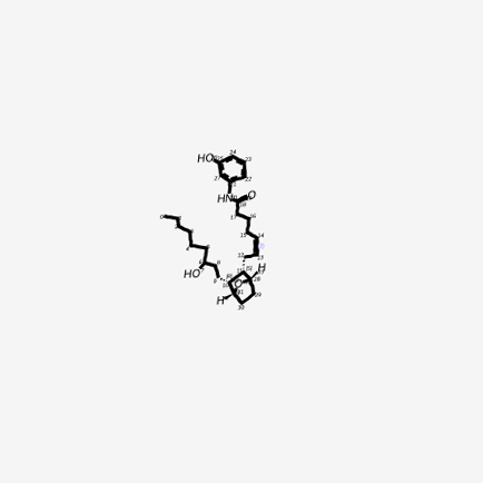 CCCCCCC(O)CC[C@@H]1[C@H](C/C=C\CCCC(=O)Nc2cccc(O)c2)[C@@H]2CC[C@H]1O2